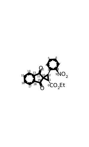 CCOC(=O)[C@H]1[C@H](c2ccccc2[N+](=O)[O-])C12C(=O)c1ccccc1C2=O